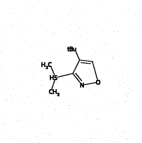 C[SH](C)c1nocc1C(C)(C)C